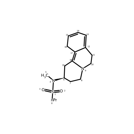 CCCS(=O)(=O)N(C)[C@@H]1CCN2CCC3=CC=CCC3=C2C1